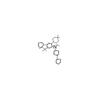 CC(C)N(c1ccc(-c2ccccc2)cc1)c1cc2c(cc1C1CCC(C)(C)CC1)-c1ccccc1C2(C)C